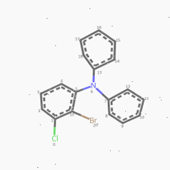 Clc1cccc(N(c2ccccc2)c2ccccc2)c1Br